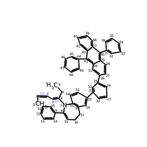 C/C=C\C=C(/CC)N1C(c2ccccc2)=CCCc2cc(-c3cccc(-c4ccc5c(-c6ccccc6)c6ccccc6c(-c6ccccc6)c5c4)c3)ccc21